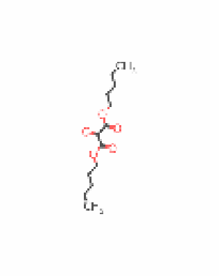 CCCCCOC(=O)C(=O)C(=O)OCCCCC